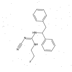 N#C/N=C(\NCCF)NC(Cc1ccccc1)c1ccccc1